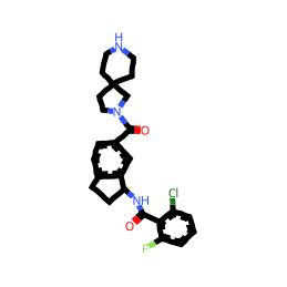 O=C(NC1CCc2ccc(C(=O)N3CCC4(CCNCC4)C3)cc21)c1c(F)cccc1Cl